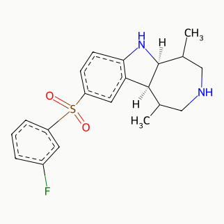 CC1CNCC(C)[C@@H]2Nc3ccc(S(=O)(=O)c4cccc(F)c4)cc3[C@H]12